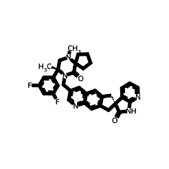 CN1C[C@@](C)(c2cc(F)cc(F)c2)N(Cc2cnc3cc4c(cc3c2)C[C@@]2(C4)C(=O)Nc3ncccc32)C(=O)C12CCCC2